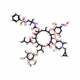 CON=C1C[C@@H](C)O[C@@H](OC2C(C)CC(C)(OC(=O)NC(C)(C)CNS(=O)(=O)c3ccccc3)C(=O)C(C)C(OC(=O)CC(C)C)C(C)C(C(C)CO[C@@H]3O[C@H](C)[C@@H](O)[C@@H](OC)[C@H]3OC)OC(=O)C(C)C(O[C@H]3CC(C)N(CC4CC4)C[C@H](C)O3)C2C)[C@@H]1O